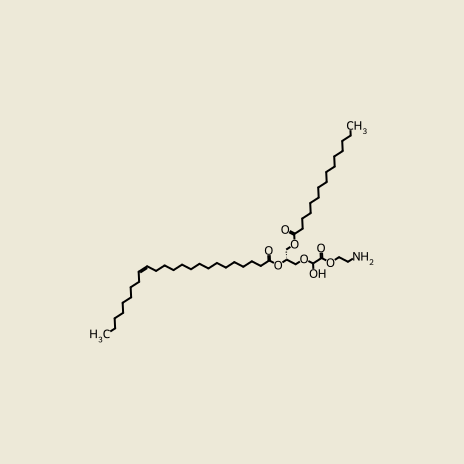 CCCCCCCC/C=C\CCCCCCCCCCCCCC(=O)O[C@H](COC(=O)CCCCCCCCCCCCCC)COC(O)C(=O)OCCN